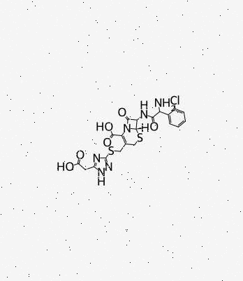 NC(C(=O)NC1C(=O)N2C(C(=O)O)=C(CSc3n[nH]c(CC(=O)O)n3)CS[C@@H]12)c1ccccc1Cl